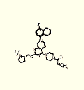 C=CC(=O)N1CCN(c2nc(OC[C@H]3CCCN3C)nc3c2CCN(c2ccc(F)c4ccccc24)C3)CC1